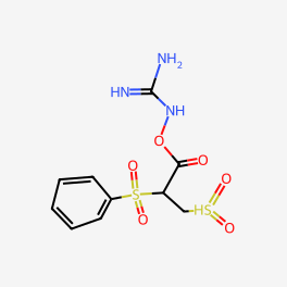 N=C(N)NOC(=O)C(C[SH](=O)=O)S(=O)(=O)c1ccccc1